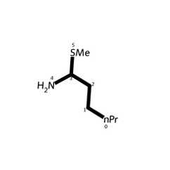 CCCCCC(N)SC